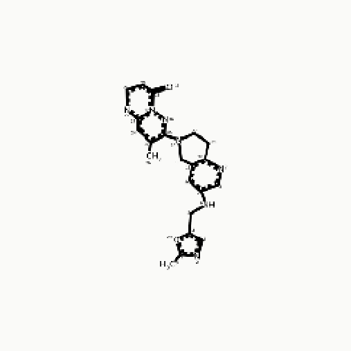 Cc1ncc(CNc2cnc3c(c2)CN(c2nn4c(=O)ccnc4cc2C)CC3)o1